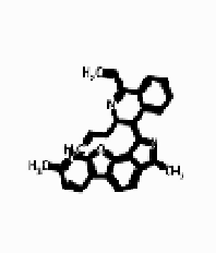 C=CCC1N=C(C=C)c2ccccc2C1C1N=C(C)c2ccc3c(oc4nc(C)ccc43)c21